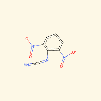 N=C=Nc1c([N+](=O)[O-])cccc1[N+](=O)[O-]